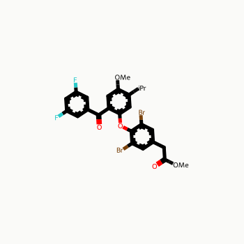 COC(=O)Cc1cc(Br)c(Oc2cc(C(C)C)c(OC)cc2C(=O)c2cc(F)cc(F)c2)c(Br)c1